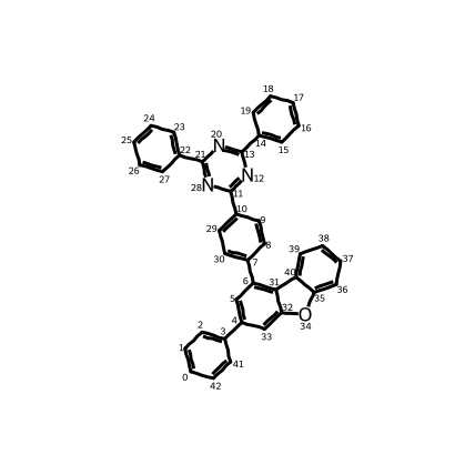 c1ccc(-c2cc(-c3ccc(-c4nc(-c5ccccc5)nc(-c5ccccc5)n4)cc3)c3c(c2)oc2ccccc23)cc1